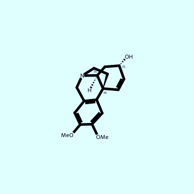 COc1cc2c(cc1OC)[C@@]13C=C[C@@H](O)C[C@@H]1N(CC3)C2